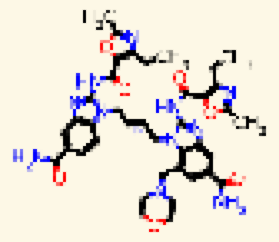 CCc1nc(C)oc1C(=O)Nc1nc2cc(C(N)=O)ccc2n1C/C=C/Cn1c(NC(=O)c2oc(C)nc2CC)nc2cc(C(N)=O)cc(CN3CCOCC3)c21